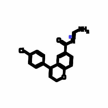 N/C=N/C(=O)c1ccc2c(c1)C(c1ccc(Cl)cc1)=CCO2